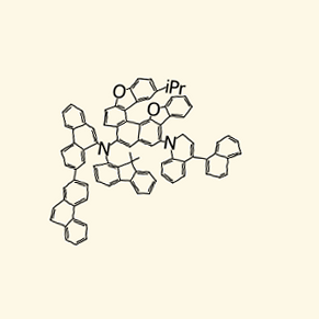 CC(C)c1ccc2oc3ccc4c(N(c5cccc6c5C(C)(C)c5ccccc5-6)c5cc6ccccc6c6ccc(-c7ccc8c(ccc9ccccc98)c7)cc56)cc5cc(N6CC=C(c7cccc8ccccc78)c7ccccc76)c6c7ccccc7oc6c5c4c3c2c1